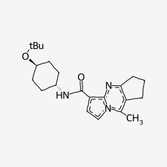 Cc1c2c(nc3c(C(=O)N[C@H]4CC[C@H](OC(C)(C)C)CC4)ccn13)CCC2